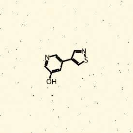 Oc1cncc(-c2cnsc2)c1